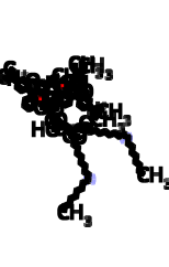 CCCCCCCC/C=C\CCCCCCCC(=O)OC[C@H](COP(=O)(O)OCCN(S(=O)(=O)C(=O)c1ccccc1-c1c2ccc(=[N+](CC)CC)cc-2oc2cc(N(CC)CC)ccc12)S(=O)(=O)c1ccc(-c2c3ccc(=[N+](CC)CC)cc-3oc3cc(N(CC)CC)ccc23)c(S(=O)(=O)O)c1)OC(=O)CCCCCCC/C=C\CCCCCCCC